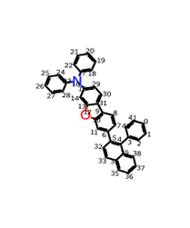 c1ccc(-c2c(-c3ccc4c(c3)oc3cc(N(c5ccccc5)c5ccccc5)ccc34)ccc3ccccc23)cc1